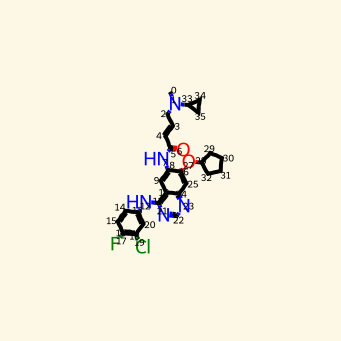 CN(CC=CC(=O)Nc1cc2c(Nc3ccc(F)c(Cl)c3)ncnc2cc1OC1CCCC1)C1CC1